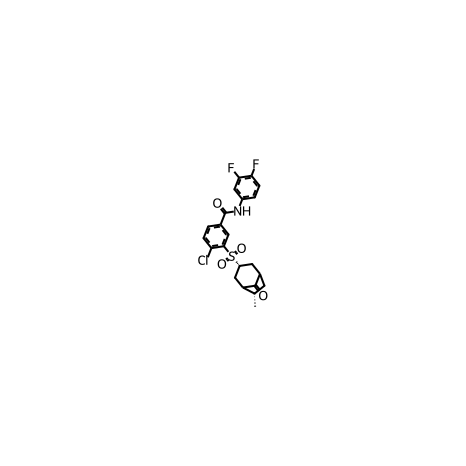 C[C@H]1CC2C[C@@H](S(=O)(=O)c3cc(C(=O)Nc4ccc(F)c(F)c4)ccc3Cl)CC1C2=O